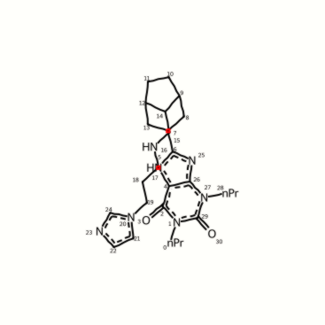 CCCn1c(=O)c2[nH]c(C3CC4CCC(C3)C4CNCCCn3ccnc3)nc2n(CCC)c1=O